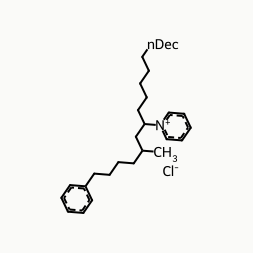 CCCCCCCCCCCCCCCC(CC(C)CCCCc1ccccc1)[n+]1ccccc1.[Cl-]